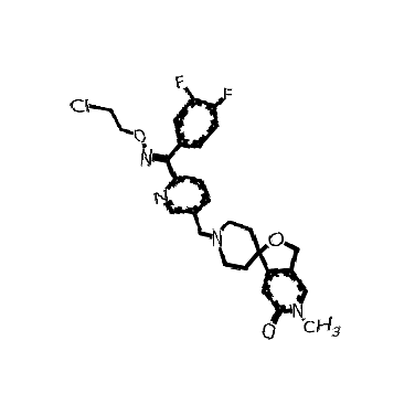 Cn1cc2c(cc1=O)C1(CCN(Cc3ccc(/C(=N/OCCCl)c4ccc(F)c(F)c4)nc3)CC1)OC2